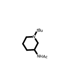 CC(=O)NC1CCCN(C(C)(C)C)C1